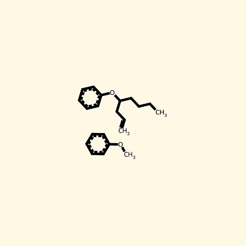 C=CCC(CCCC)Oc1ccccc1.COc1ccccc1